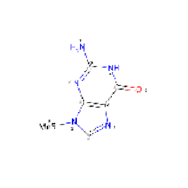 CSn1cnc2c(=O)[nH]c(N)nc21